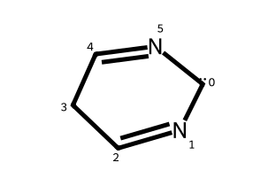 [C]1N=CCC=N1